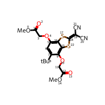 COC(=O)COc1cc(C(C)(C)C)c(OCC(=O)OC)c2c1SC(=C(C#N)C#N)S2